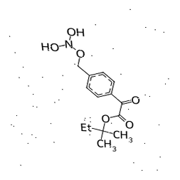 CCC(C)(C)OC(=O)C(=O)c1ccc(CON(O)O)cc1